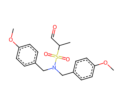 COc1ccc(CN(Cc2ccc(OC)cc2)S(=O)(=O)C(C)C=O)cc1